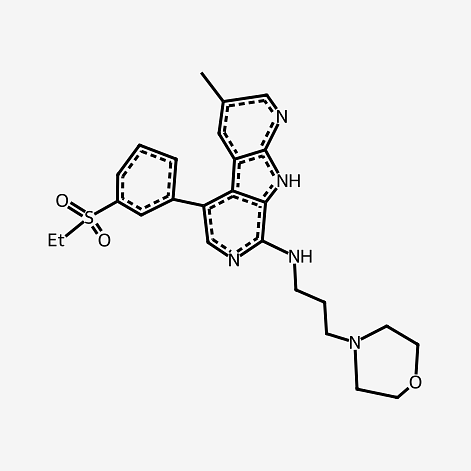 CCS(=O)(=O)c1cccc(-c2cnc(NCCCN3CCOCC3)c3[nH]c4ncc(C)cc4c23)c1